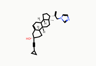 C=C(Cn1ccnc1)[C@H]1CC[C@H]2[C@@H]3CC=C4C[C@](O)(C#CC5CC5)CC[C@@H]4[C@H]3CC[C@]12C